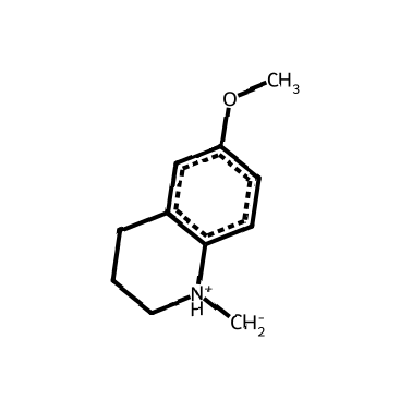 [CH2-][NH+]1CCCc2cc(OC)ccc21